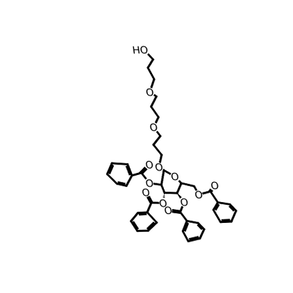 O=C(OCC1O[C@H](OCCCOCCCOCCCO)C(OC(=O)c2ccccc2)[C@@H](OC(=O)c2ccccc2)[C@@H]1OC(=O)c1ccccc1)c1ccccc1